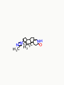 Cc1cn(C2=CCC3C4CCC5=CNC(=O)CCC5(C)C4CC[C@]23C)cn1